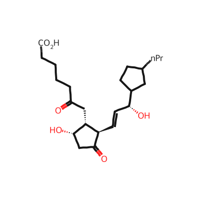 CCCC1CCC([C@H](O)/C=C/[C@H]2C(=O)C[C@H](O)[C@@H]2CC(=O)CCCCC(=O)O)C1